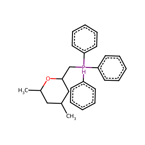 CC1CC(C)OC(C[PH](c2ccccc2)(c2ccccc2)c2ccccc2)C1